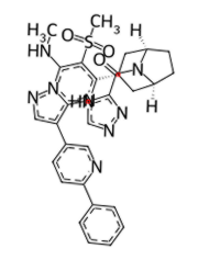 CNc1c(S(C)(=O)=O)c([C@@H]2C[C@H]3CC[C@@H](C2)N3C(=O)c2nnc[nH]2)nc2c(-c3ccc(-c4ccccc4)nc3)cnn12